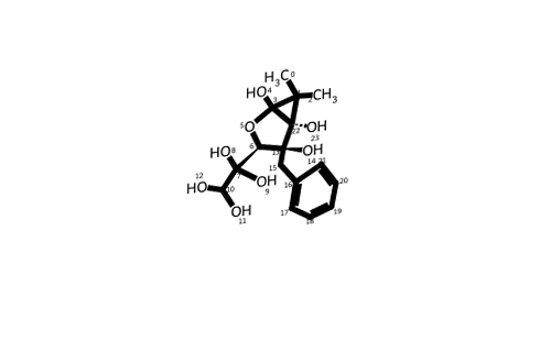 CC1(C)C2(O)O[C@H](C(O)(O)C(O)O)[C@@](O)(Cc3ccccc3)[C@]12O